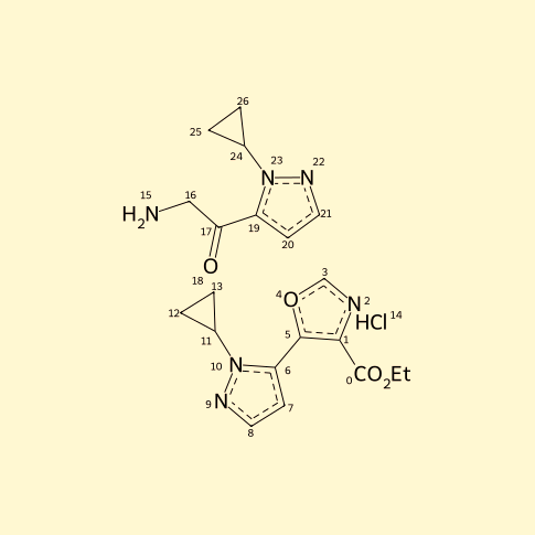 CCOC(=O)c1ncoc1-c1ccnn1C1CC1.Cl.NCC(=O)c1ccnn1C1CC1